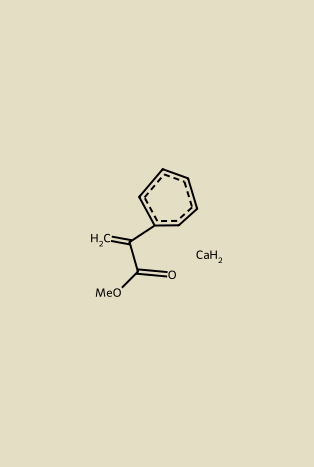 C=C(C(=O)OC)c1ccccc1.[CaH2]